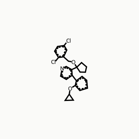 Clc1ccc(Cl)c(COC2(c3cnccc3-c3ccccc3OC3CC3)CCCC2)c1